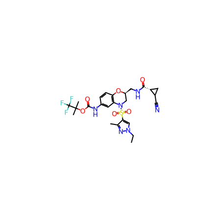 CCn1cc(S(=O)(=O)N2C[C@H](CNC(=O)[C@@H]3CC3C#N)Oc3ccc(NC(=O)OC(C)(C)C(F)(F)F)cc32)c(C)n1